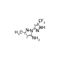 Cc1cc(N)n(-c2cc(C(F)(F)F)[nH]n2)n1